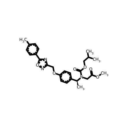 COC(=O)CN(C(=O)OCC(C)C)[C@@H](C)c1ccc(OCc2noc(-c3ccc(C)cc3)n2)cc1